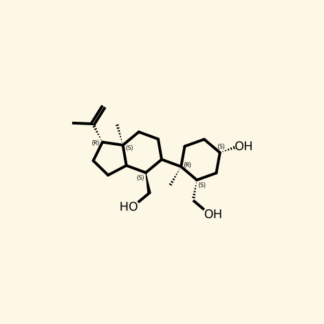 C=C(C)[C@H]1CCC2[C@H](CO)C([C@@]3(C)CC[C@H](O)C[C@@H]3CO)CC[C@@]21C